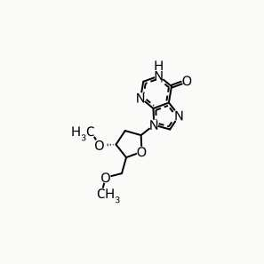 COCC1OC(n2cnc3c(=O)[nH]cnc32)C[C@H]1OC